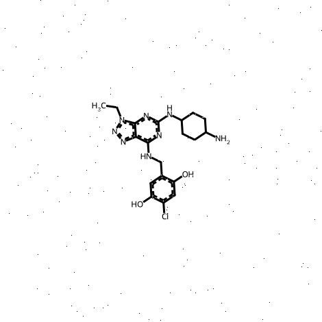 CCn1nnc2c(NCc3cc(O)c(Cl)cc3O)nc(NC3CCC(N)CC3)nc21